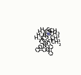 C=CC1C([N+](=C)/C=C(\C)[Si](C)(C)C)C(C(=C)C)C12Cc1ccc3c(oc4ccccc43)c1-c1n(-c3cccc4c3oc3ccccc34)c3ccccc3[n+]12